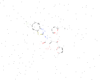 CC(=O)OCc1ccc(C2C(C(=O)c3ccc(C)o3)=C(O)C(=O)N2c2nc3ccc(F)cc3s2)o1